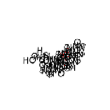 O=C(O)CNC(=O)[C@@H]1CCCN1C(=O)[C@@H]1CCCN1C(=O)CNC(=O)[C@@H]1CCCN1C(=O)[C@@H]1CCCN1C(=O)CNC(=O)[C@H](CS)NC(=O)[C@@H]1CCCN1C(=O)CNC(=O)[C@@H]1CCCN1C(=O)[C@@H]1CCCN1C(=O)CNC(=O)[C@@H]1CCCN1C(=O)[C@@H]1CCCN1C(=O)CNC(=O)[C@@H]1CCCN1C(=O)[C@@H]1CCCN1C(=O)CNC(=O)[C@@H]1CCCN1C(=O)[C@@H]1CCCN1